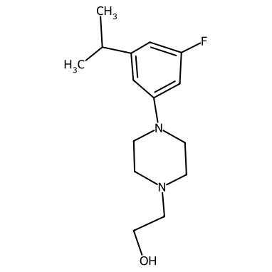 CC(C)c1cc(F)cc(N2CCN(CCO)CC2)c1